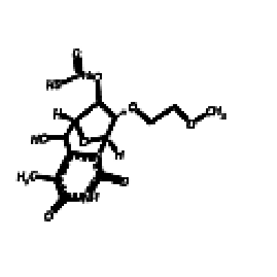 COCCO[C@H]1C(O[PH](=O)S)[C@@H]2O[C@H]1n1c(c(C)c(=O)[nH]c1=O)[C@H]2O